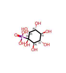 O=P(O)(O)[C@]1(O)[C@H](O)[C@H](O)[C@@H](O)[C@H](O)[C@H]1O